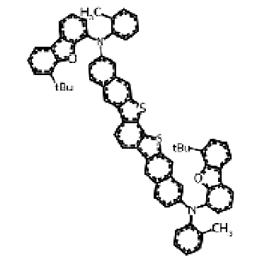 Cc1ccccc1N(c1ccc2cc3c(cc2c1)sc1c3ccc2c3cc4ccc(N(c5ccccc5C)c5cccc6c5oc5c(C(C)(C)C)cccc56)cc4cc3sc21)c1cccc2c1oc1c(C(C)(C)C)cccc12